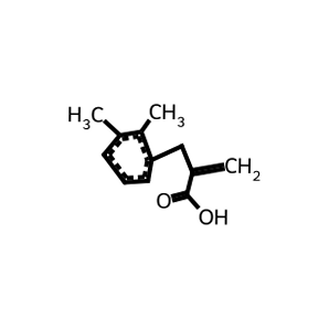 C=C(Cc1cccc(C)c1C)C(=O)O